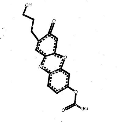 CC(C)(C)C(=O)Oc1ccc2nc3cc(CCCO)c(=O)cc-3oc2c1